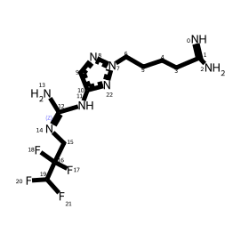 N=C(N)CCCCn1ncc(N/C(N)=N\CC(F)(F)C(F)F)n1